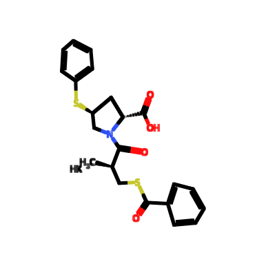 C[C@H](CSC(=O)c1ccccc1)C(=O)N1C[C@@H](Sc2ccccc2)C[C@@H]1C(=O)O.[KH]